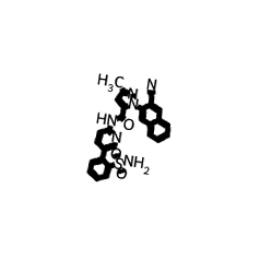 Cc1cc(C(=O)Nc2ccc(-c3ccccc3S(N)(=O)=O)cn2)n(-c2cc3ccccc3cc2C#N)n1